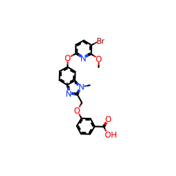 COc1nc(Oc2ccc3nc(COc4cccc(C(=O)O)c4)n(C)c3c2)ccc1Br